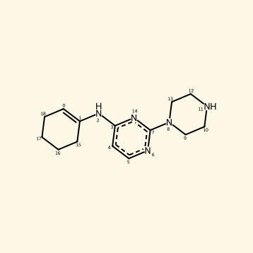 C1=C(Nc2ccnc(N3CCNCC3)n2)CCCC1